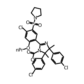 CCCOc1cc(Cl)c(S(=O)(=O)N2CCCC2)cc1C1=NC(C)(c2ccc(Cl)cc2)C(C)(c2ccc(Cl)cc2)N1C(=O)Cl